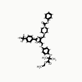 CCOC(=O)C(C)(C)Oc1ccc(SCc2sc(-c3ccc(C(F)(F)F)cc3)nc2CN2CCN(C(=O)Oc3ccccc3)CC2)cc1